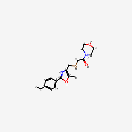 CCc1ccc(-c2nc(CSCC(=O)N3CCOCC3)c(C)o2)cc1